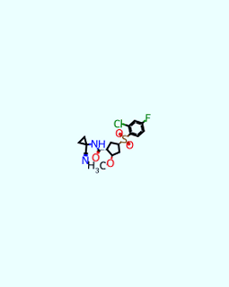 CO[C@@H]1C[C@H](S(=O)(=O)c2ccc(F)cc2Cl)C[C@H]1C(=O)NC1(C#N)CC1